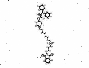 C[N+](C)(CCCCCCCCN1CCC(OC(=O)NC(c2ccccc2)c2ccccc2)CC1)CCCCN1C(=O)c2ccccc2C1=O